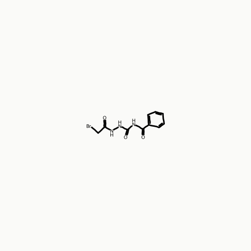 O=C(CBr)NNC(=O)NC(=O)c1ccccc1